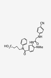 CNc1ccc(C(=O)N(CCCC(=O)O)c2ccccc2)cc1NC(=O)CNc1ccc(C#N)cc1